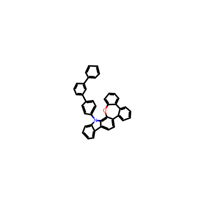 c1ccc(-c2cccc(-c3ccc(-n4c5ccccc5c5ccc6c(c54)Oc4ccccc4-c4ccccc4-6)cc3)c2)cc1